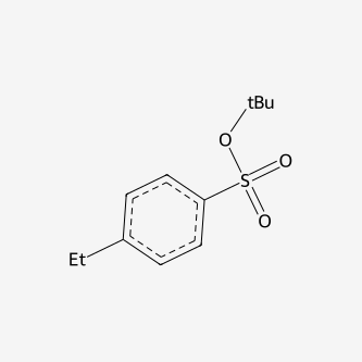 CCc1ccc(S(=O)(=O)OC(C)(C)C)cc1